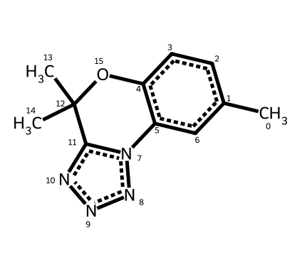 Cc1ccc2c(c1)-n1nnnc1C(C)(C)O2